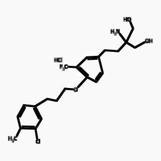 Cc1ccc(CCCOc2ccc(CCC(N)(CO)CO)cc2C(F)(F)F)cc1Cl.Cl